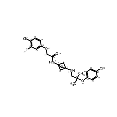 CC(C)(CNC12CC(NC(=O)COc3ccc(Cl)c(F)c3)(C1)C2)Oc1ccc(Cl)cc1